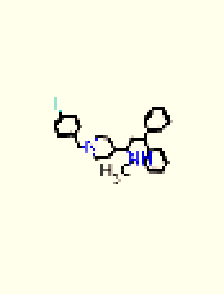 CNC(CC(c1ccccc1)c1ccccc1)C1CCN(Cc2ccc(F)cc2)CC1